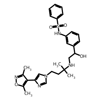 Cc1noc(C)c1-c1cn(CCC(C)(C)NCC(O)c2cccc(NS(=O)(=O)c3ccccc3)c2)cn1